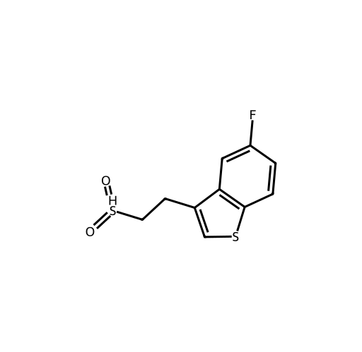 O=[SH](=O)CCc1csc2ccc(F)cc12